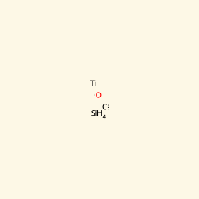 [C].[O].[SiH4].[Ti]